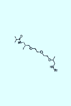 CC(C)NCC(C)OCCOCCOCC(F)CNC(=O)C(C)I